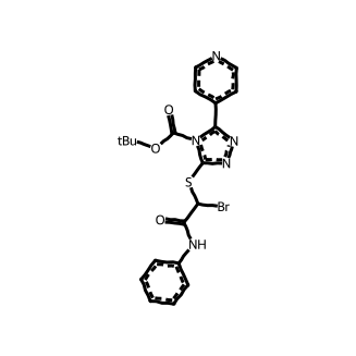 CC(C)(C)OC(=O)n1c(SC(Br)C(=O)Nc2ccccc2)nnc1-c1ccncc1